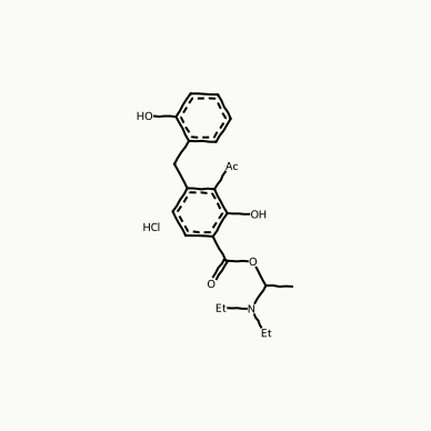 CCN(CC)C(C)OC(=O)c1ccc(Cc2ccccc2O)c(C(C)=O)c1O.Cl